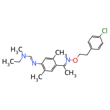 CCN(C)C=Nc1cc(C)c(C(C)=NOCCc2ccc(Cl)cc2)cc1C